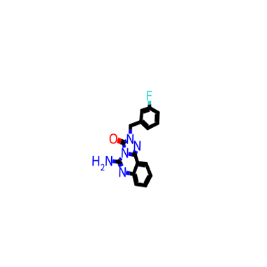 Nc1nc2ccccc2c2nn(Cc3cccc(F)c3)c(=O)n12